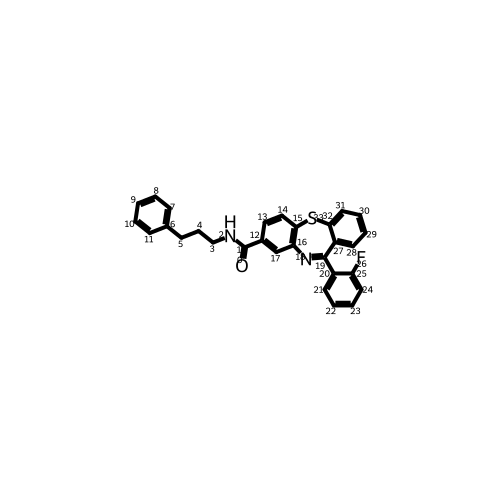 O=C(NCCCc1ccccc1)c1ccc2c(c1)N=C(c1ccccc1F)c1ccccc1S2